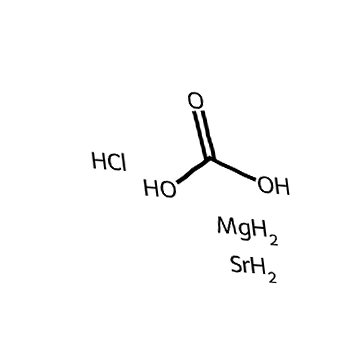 Cl.O=C(O)O.[MgH2].[SrH2]